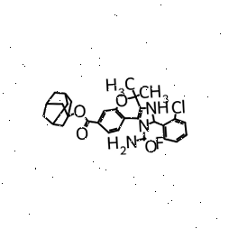 CC1(C)Oc2cc(C(=O)OC34CC5CC(CC(C5)C3)C4)ccc2C2=C1NC(c1c(F)cccc1Cl)N2C(N)=O